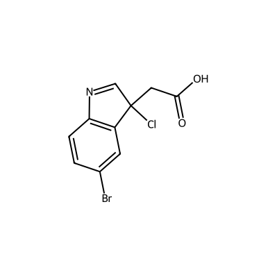 O=C(O)CC1(Cl)C=Nc2ccc(Br)cc21